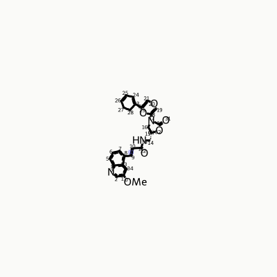 COc1cnc2cccc(/C=C/C(=O)NC[C@@H]3CN(C4=COC=C(C5=CC=CCC5)O4)C(=O)O3)c2c1